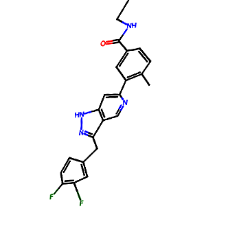 CCNC(=O)c1ccc(C)c(-c2cc3[nH]nc(Cc4ccc(F)c(F)c4)c3cn2)c1